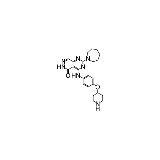 O=c1[nH]ncc2nc(N3CCCCCC3)nc(Nc3ccc(OC4CCNCC4)cc3)c12